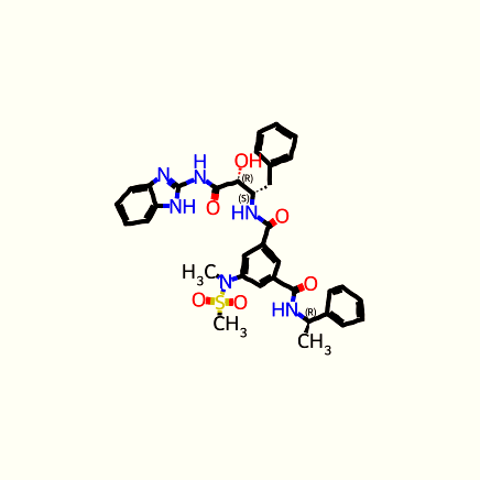 C[C@@H](NC(=O)c1cc(C(=O)N[C@@H](Cc2ccccc2)[C@@H](O)C(=O)Nc2nc3ccccc3[nH]2)cc(N(C)S(C)(=O)=O)c1)c1ccccc1